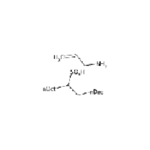 C=CCN.CCCCCCCCCCCC(CCCCCCCC)S(=O)(=O)O